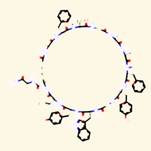 CCCC[C@H]1C(=O)N(C)CC(=O)N[C@@H](C)C(=O)N[C@@H](C(C)C)C(=O)N(C)[C@@H](Cc2ccccc2)C(=O)N[C@@H](Cc2ccc(O)cc2)C(=O)N(C)CC(=O)N[C@@H](Cc2c[nH]c3ccccc23)C(=O)N[C@@H](Cc2ccc(O)cc2)C(=O)N[C@@H](CC(C)C)C(=O)N[C@H](C(=O)NCC(N)=O)CSCC(=O)N[C@@H](C)C(=O)N(C)[C@@H](Cc2ccccc2)C(=O)N1C